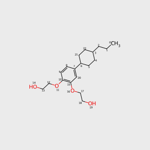 CCCC1CCC(c2ccc(OCCO)c(OCCO)c2)CC1